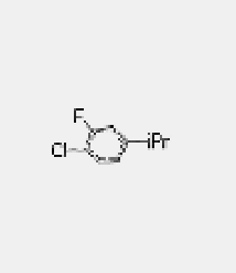 [CH2]C(C)c1ccc(Cl)c(F)c1